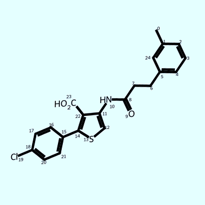 Cc1cccc(CCC(=O)Nc2csc(-c3ccc(Cl)cc3)c2C(=O)O)c1